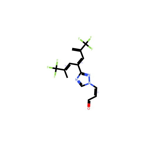 C=C(/C=C(\C=C(/C)C(F)(F)F)c1ncn(/C=C\C=O)n1)C(F)(F)F